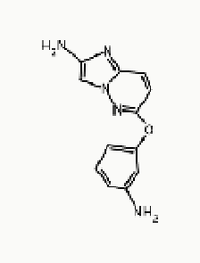 Nc1cccc(Oc2ccc3nc(N)cn3n2)c1